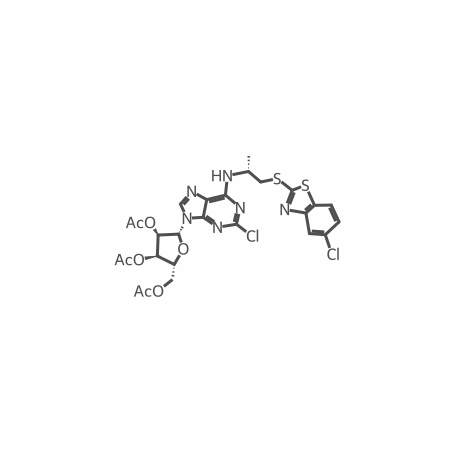 CC(=O)OC[C@H]1O[C@@H](n2cnc3c(N[C@H](C)CSc4nc5cc(Cl)ccc5s4)nc(Cl)nc32)[C@H](OC(C)=O)[C@@H]1OC(C)=O